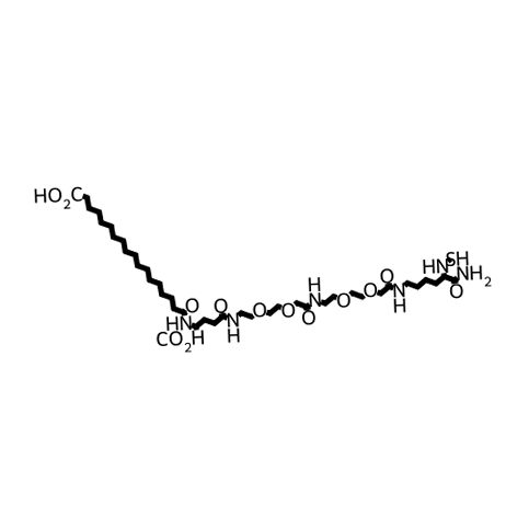 NC(=O)C(CCCCNC(=O)COCCOCCNC(=O)COCCOCCNC(=O)CCC(NC(=O)CCCCCCCCCCCCCCCCC(=O)O)C(=O)O)NS